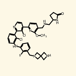 COc1nc(-c2ccnc(-c3cccc(Nc4cccc(CN5CC6(CNC6)C5)c4F)c3Cl)c2Cl)ccc1CNCC1CCC(=O)N1